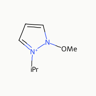 COn1ccc[n+]1C(C)C